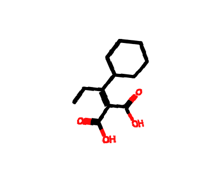 CCC(=C(C(=O)O)C(=O)O)C1CCCCC1